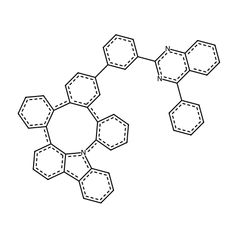 c1ccc(-c2nc(-c3cccc(-c4ccc5c6ccccc6c6cccc7c8ccccc8n(c8ccccc8c5c4)c67)c3)nc3ccccc23)cc1